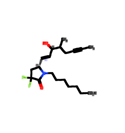 CC#CCC(C)[C@H](O)/C=C/[C@H]1CC(F)(F)C(=O)N1CCCCCCC(=O)O